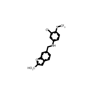 O=C(O)c1cc2ccc(CNc3ccc(SC(F)(F)F)c(Cl)c3)cc2o1